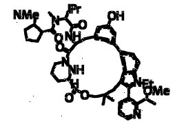 CCn1c(-c2cccnc2[C@H](C)OC)c2c3cc(ccc31)-c1cc(O)cc(c1)C[C@H](NC(=O)C(C(C)C)N(C)C(=O)[C@H]1CCC[C@H]1NC)C(=O)N1CCC[C@H](N1)C(=O)OCC(C)(C)C2